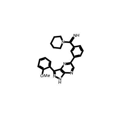 COc1ccccc1-c1n[nH]c2ncc(-c3cccc(C(=N)N4CCCCC4)c3)nc12